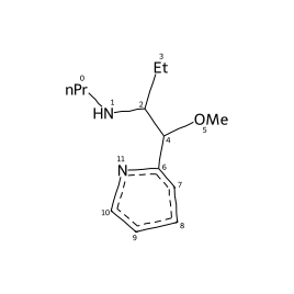 CCCNC(CC)C(OC)c1ccccn1